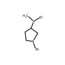 CCN(C)C1CCN(C(C)C)C1